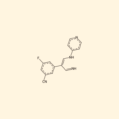 N#Cc1cc(F)cc(/C(C=N)=C/Nc2ccncc2)c1